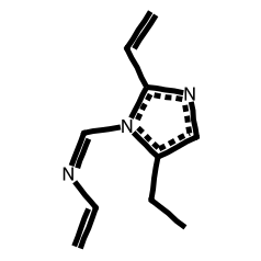 C=C/N=C\n1c(CC)cnc1C=C